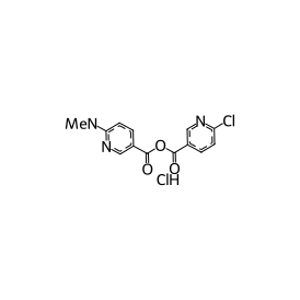 CNc1ccc(C(=O)OC(=O)c2ccc(Cl)nc2)cn1.Cl